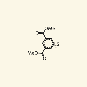 COC(=O)c1cccc(C(=O)OC)c1.S